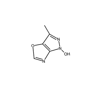 Cc1nn(O)c2ncoc12